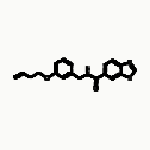 C=CCCOc1cccc(CNC(=O)c2ccc3ncsc3c2)c1